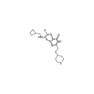 O=c1[nH]c(CSC2CCSCC2)nc2cc(NCC3CCC3)c(F)cc12